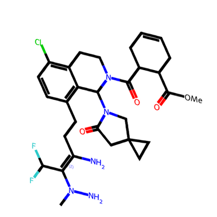 COC(=O)C1CC=CCC1C(=O)N1CCc2c(Cl)ccc(CC/C(N)=C(\C(F)F)N(C)N)c2C1N1CC2(CC2)CC1=O